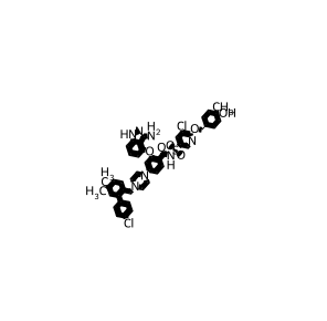 CC1(C)CCC(CN2CCN(c3ccc(C(=O)NS(=O)(=O)c4cnc(OC[C@H]5CC[C@](C)(O)CC5)c(Cl)c4)c(Oc4cccc5[nH]nc(N)c45)c3)CC2)=C(c2ccc(Cl)cc2)C1